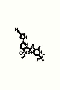 CCS(=O)(=O)c1ccc(-n2cc(C#N)cn2)nc1-c1nc2cc(C(F)(F)F)nc(C)c2n1C